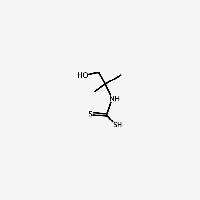 CC(C)(CO)NC(=S)S